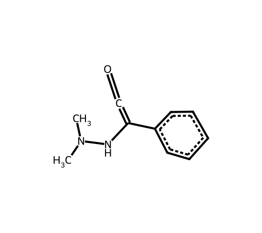 CN(C)NC(=C=O)c1ccccc1